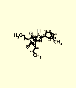 CCCn1c(=O)c2[nH]c(C3CC4CC(C)C3C4)nc2n(CCC)c1=O